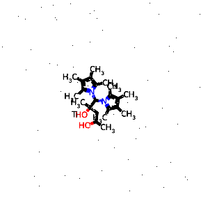 Cc1c(C)c(C)n(C(n2c(C)c(C)c(C)c2C)C(C)(O)CC(C)O)c1C.[Ti]